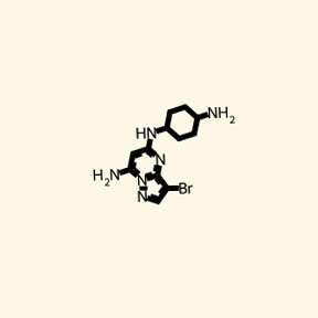 Nc1cc(NC2CCC(N)CC2)nc2c(Br)cnn12